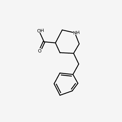 O=C(O)C1CNCC(Cc2ccccc2)C1